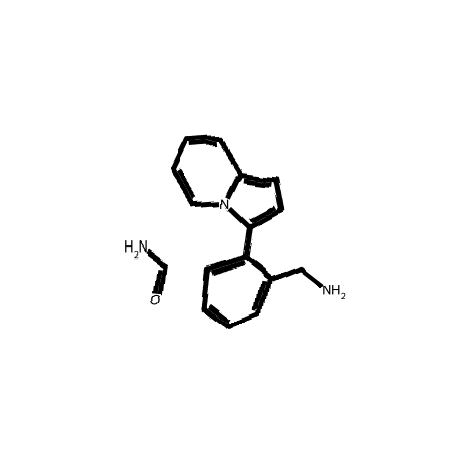 NC=O.NCc1ccccc1-c1ccc2ccccn12